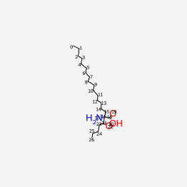 CCCCCCCCCCCCCCCCC(N)(C(=O)O)C(=O)CCCC